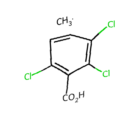 O=C(O)c1c(Cl)ccc(Cl)c1Cl.[CH3]